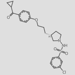 O=C(c1ccc(OCCC[C@@H]2CCN(NS(=O)(=O)c3cccc(Cl)c3)C2)cc1)C1CC1